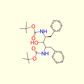 CC(C)(C)OC(=O)NC(Cc1ccccc1)C(O)[C@H](Cc1ccccc1)NC(=O)OC(C)(C)C